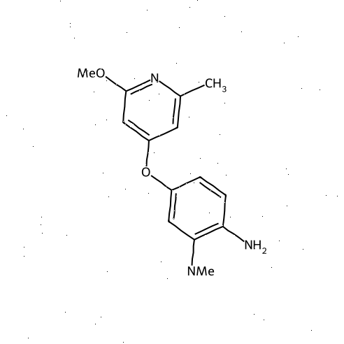 CNc1cc(Oc2cc(C)nc(OC)c2)ccc1N